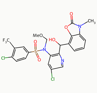 COCN(c1cc(Cl)cnc1C(O)c1cccc2c1oc(=O)n2C)S(=O)(=O)c1ccc(Cl)c(C(F)(F)F)c1